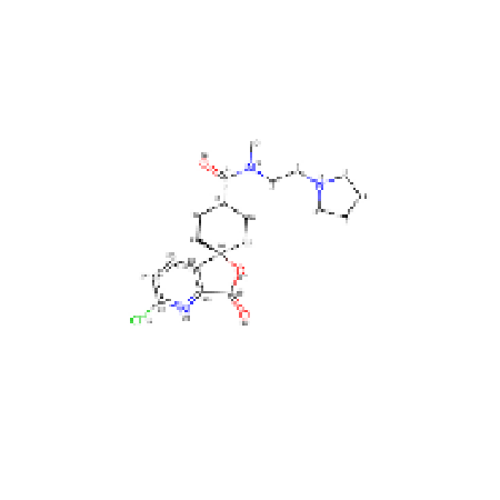 CN(CCN1CCCC1)C(=O)[C@H]1CC[C@@]2(CC1)OC(=O)c1nc(Cl)ccc12